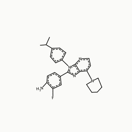 CC(C)c1ccc(-n2c(-c3ccc(N)c(F)c3)nc3c(N4CCCCC4)ccnc32)cc1